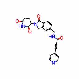 O=C(C#Cc1ccncc1)NCc1ccc2c(c1)CN(C1CCC(=O)NC1=O)C2=O